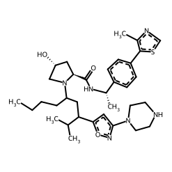 CCCCC(CC(c1cc(N2CCNCC2)no1)C(C)C)N1C[C@H](O)C[C@H]1C(=O)N[C@@H](C)c1ccc(-c2scnc2C)cc1